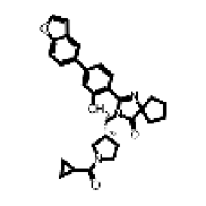 Cc1cc(-c2ccc3occc3c2)ccc1C1=NC2(CCCC2)C(=O)N1C[C@@H]1CCN(C(=O)C2CC2)C1